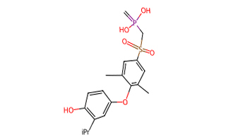 C=P(O)(O)CS(=O)(=O)c1cc(C)c(Oc2ccc(O)c(C(C)C)c2)c(C)c1